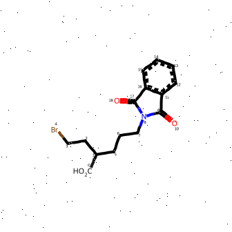 O=C(O)C(CCBr)CCCN1C(=O)c2ccccc2C1=O